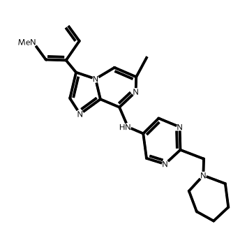 C=C/C(=C\NC)c1cnc2c(Nc3cnc(CN4CCCCC4)nc3)nc(C)cn12